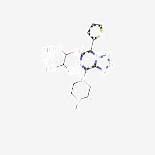 CN1CCN(c2ncc(-c3cccs3)n3nnnc23)CC1.O.O=C(O)C(O)C(O)C(=O)O